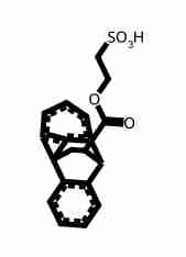 O=C(OCCS(=O)(=O)O)C1CC23c4ccccc4C1c1cccc2c13